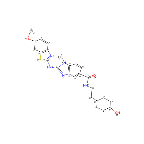 Cn1c(Nc2nc3ccc(OC(F)(F)F)cc3s2)nc2cc(C(=O)NCCC3CCC(O)CC3)ccc21